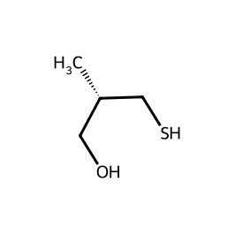 C[C@@H](CO)CS